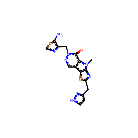 Cn1c2nc(Cc3cc[nH]n3)sc2c2cnn(Cc3ncsc3N)c(=O)c21